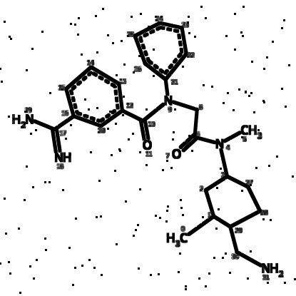 CC1CC(N(C)C(=O)CN(C(=O)c2cccc(C(=N)N)c2)c2ccccc2)CCC1CN